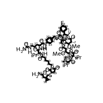 CO[C@@H]1C[C@@H]([C@H](OC)[C@@H](C)C(=O)N[C@H](C)C(NC(=O)OCc2ccc(NC(=O)C(CCCNC(N)=O)NC(=O)[C@@H](NC(=O)CCCCCN3C(=O)CC(SCC4(CC(N)=O)CC4)C3=O)C(C)C)cc2)c2ccc(F)cc2)N(C(=O)C[C@@H](OC)[C@H](C(C)C)N(C)C(=O)[C@@H](NC(=O)[C@H](C(C)C)N(C)C)C(C)C)C1